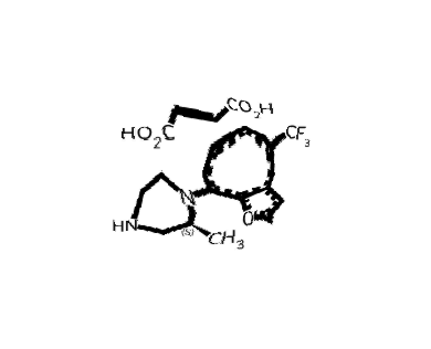 C[C@H]1CNCCN1c1ccc(C(F)(F)F)c2ccoc12.O=C(O)C=CC(=O)O